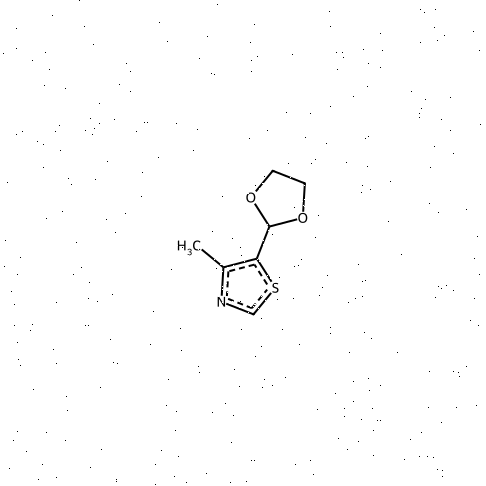 Cc1ncsc1C1OCCO1